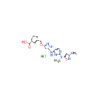 Cc1cc(N(C)c2nccc(Nc3cc(OCc4cccc(C(=O)O)c4)n[nH]3)n2)on1.Cl